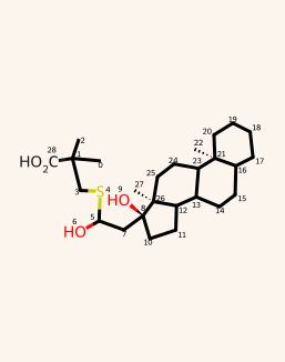 CC(C)(CSC(O)C[C@@]1(O)CCC2C3CCC4CCCC[C@]4(C)C3CC[C@@]21C)C(=O)O